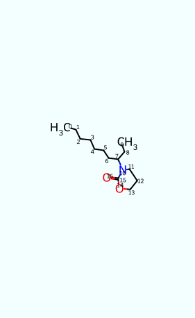 CCCCCCCC(CC)N1CCCOC1=O